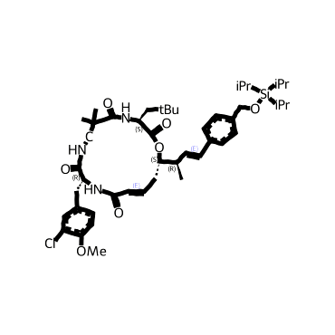 COc1ccc(C[C@H]2NC(=O)/C=C/C[C@@H]([C@H](C)/C=C/c3ccc(CO[Si](C(C)C)(C(C)C)C(C)C)cc3)OC(=O)[C@H](CC(C)(C)C)NC(=O)C(C)(C)CNC2=O)cc1Cl